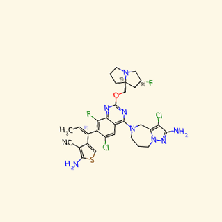 C/C=C(\c1csc(N)c1C#N)c1c(Cl)cc2c(N3CCCn4nc(N)c(Cl)c4C3)nc(OC[C@@]34CCCN3C[C@H](F)C4)nc2c1F